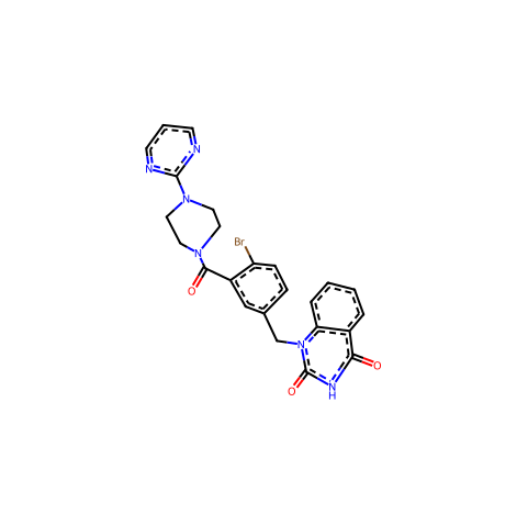 O=C(c1cc(Cn2c(=O)[nH]c(=O)c3ccccc32)ccc1Br)N1CCN(c2ncccn2)CC1